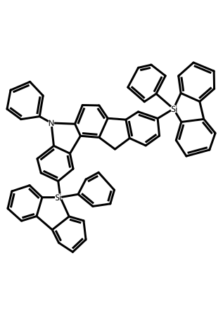 c1ccc(-n2c3ccc([Si]4(c5ccccc5)c5ccccc5-c5ccccc54)cc3c3c4c(ccc32)-c2cc([Si]3(c5ccccc5)c5ccccc5-c5ccccc53)ccc2C4)cc1